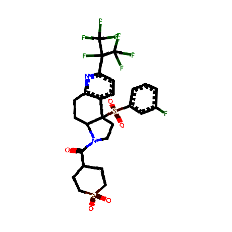 O=C(C1CCS(=O)(=O)CC1)N1CCC2(S(=O)(=O)c3cccc(F)c3)c3ccc(C(F)(C(F)(F)F)C(F)(F)F)nc3CCC12